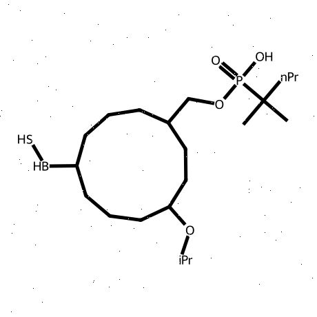 CCCC(C)(C)P(=O)(O)OCC1CCCC(BS)CCCC(OC(C)C)CC1